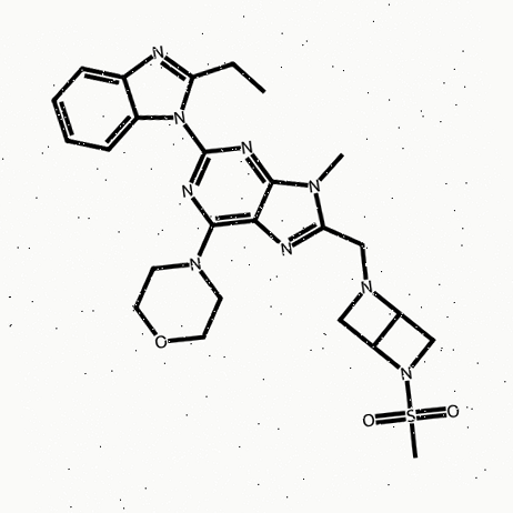 CCc1nc2ccccc2n1-c1nc(N2CCOCC2)c2nc(CN3CC4C3CN4S(C)(=O)=O)n(C)c2n1